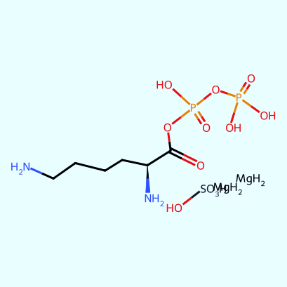 NCCCC[C@H](N)C(=O)OP(=O)(O)OP(=O)(O)O.O=S(=O)(O)O.[MgH2].[MgH2]